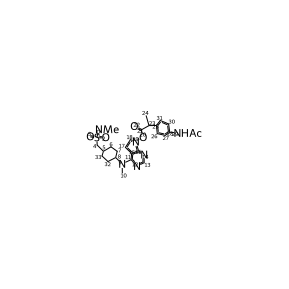 CNS(=O)(=O)CC1CCC(N(C)c2ncnc3c2ccn3OC(=O)C(C)c2ccc(NC(C)=O)cc2)CC1